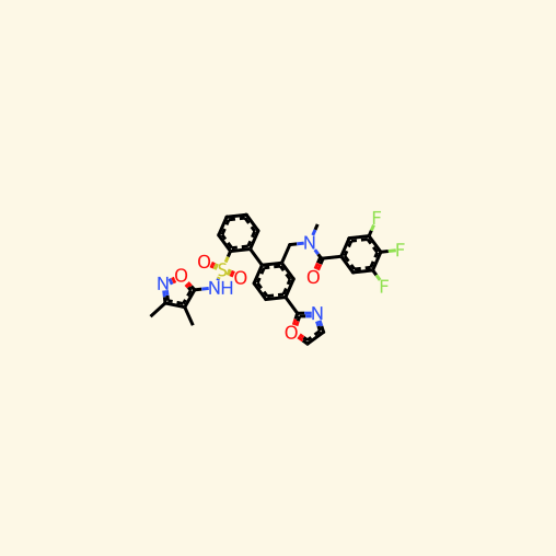 Cc1noc(NS(=O)(=O)c2ccccc2-c2ccc(-c3ncco3)cc2CN(C)C(=O)c2cc(F)c(F)c(F)c2)c1C